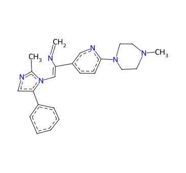 C=N/C(=C\n1c(-c2ccccc2)cnc1C)c1ccc(N2CCN(C)CC2)nc1